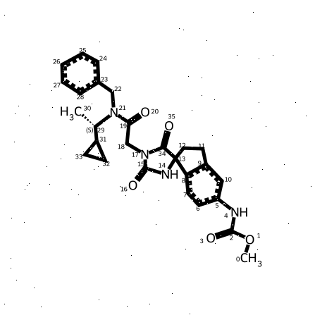 COC(=O)Nc1ccc2c(c1)CCC21NC(=O)N(CC(=O)N(Cc2ccccc2)[C@@H](C)C2CC2)C1=O